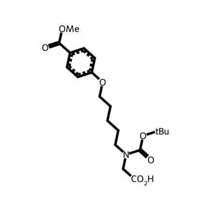 COC(=O)c1ccc(OCCCCCN(CC(=O)O)C(=O)OC(C)(C)C)cc1